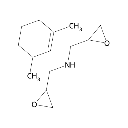 C(NCC1CO1)C1CO1.CC1=CC(C)CCC1